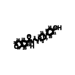 O=C(NCCN1CCN(c2ccc(O)cc2)CC1)c1ccc2c(c1)CCOC2